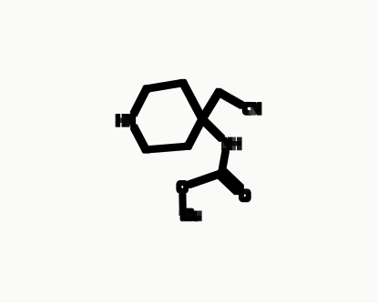 CC(C)(C)OC(=O)NC1(CC#N)CCNCC1